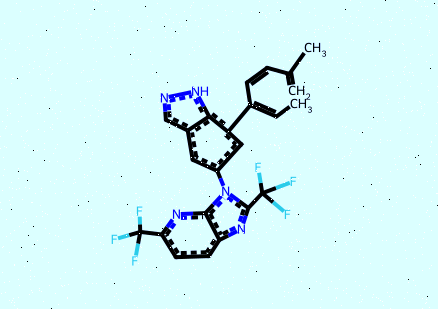 C=C(C)/C=C\C(=C/C)c1cc(-n2c(C(F)(F)F)nc3ccc(C(F)(F)F)nc32)cc2cn[nH]c12